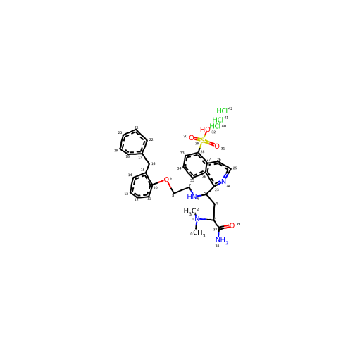 CN(C)C(CC(NCCOc1ccccc1Cc1ccccc1)c1nccc2c(S(=O)(=O)O)cccc12)C(N)=O.Cl.Cl.Cl